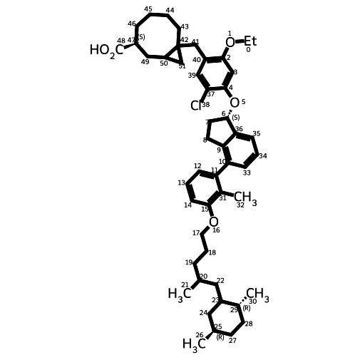 CCOc1cc(O[C@H]2CCc3c(-c4cccc(OCCCC(C)CC5C[C@H](C)CC[C@H]5C)c4C)cccc32)c(Cl)cc1CC12CCCC[C@H](C(=O)O)CC1C2